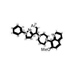 COc1ccc2cccnc2c1N1CCCN(C(CC(C)=O)c2ccn(-c3ccccc3)n2)CC1